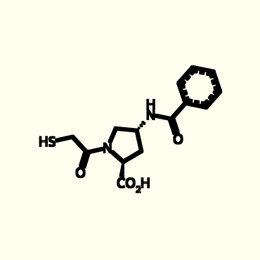 O=C(N[C@@H]1C[C@@H](C(=O)O)N(C(=O)CS)C1)c1ccccc1